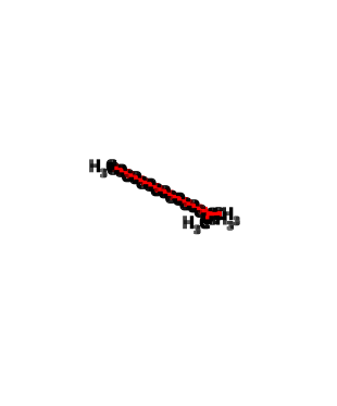 CCO[Si](C)(CCCOCCOCCOCCOCCOCCOCCOCCOCCOCCOCCOCCOCCOC)OCC